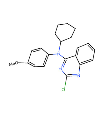 COc1ccc(N(c2nc(Cl)nc3ccccc23)C2CCCCC2)cc1